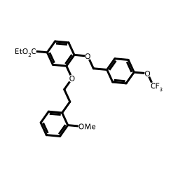 CCOC(=O)c1ccc(OCc2ccc(OC(F)(F)F)cc2)c(OCCc2ccccc2OC)c1